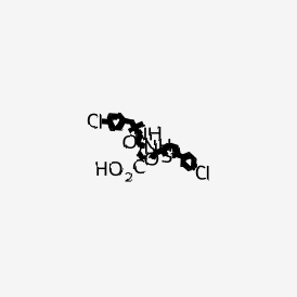 CC(C)(Cc1ccc(Cl)cc1)NC(=O)[C@H](CCC(=O)O)NC(=O)c1ccc(-c2ccc(Cl)cc2)s1